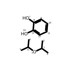 CC(C)OC(C)C.Oc1ccccc1O